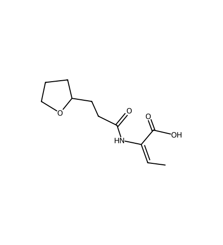 CC=C(NC(=O)CCC1CCCO1)C(=O)O